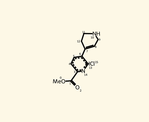 COC(=O)c1ccc(C2=CCNCC2)cn1.Cl